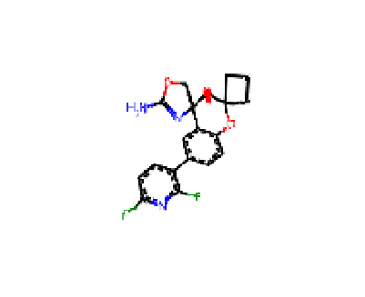 NC1=NC2(CO1)c1cc(-c3ccc(F)nc3F)ccc1OC1(CCC1)C21COC1